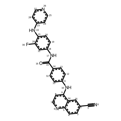 N#Cc1ccc2nccc(Nc3ccc(C(=O)Nc4ccc(Nc5ccncc5)c(F)c4)cc3)c2c1